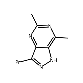 Cc1nc(C)c2[nH]nc(C(C)C)c2n1